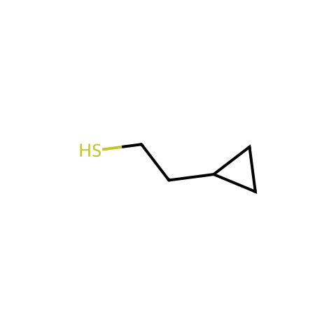 SCCC1CC1